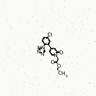 CCOC(=O)Cn1ccc(-c2cc(Cl)ccc2-n2cnnn2)cc1=O